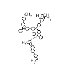 C=Cc1ccc(-c2ccc3cc(OCC(CC)CCCCC4(c5ccccc5)c5ccccc5-c5ccc(N(c6ccc(-c7ccc(C(C)(C)C)cc7)cc6)c6ccc(-c7ccc8c(c7)c7cc(-c9ccc(C=C)cc9)ccc7n8-c7ccccc7)cc6)cc54)ccc3c2)cc1